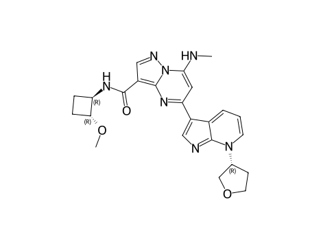 CNc1cc(-c2cnc3n([C@@H]4CCOC4)cccc2-3)nc2c(C(=O)N[C@@H]3CC[C@H]3OC)cnn12